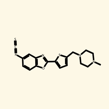 CN1CCN(Cc2ccc(-c3nc4cc(N=C=S)ccc4o3)s2)CC1